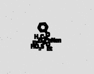 CCCCCCCCCC(C)(Oc1ccccc1)C(OCC)(OCC)S(=O)(=O)O